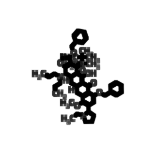 C=CCN(CC=C)[C@@H]1c2onc(OCc3ccccc3)c2C(=O)C2(O[Si](C)(C)C(C)(C)C)C(O)=C3C(=O)c4c(OCc5ccccc5)cc(C5CCCN5CC)c(OC)c4C[C@H]3C[C@@H]12